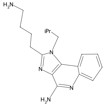 CC(C)Cn1c(CCCCN)nc2c(N)nc3ccccc3c21